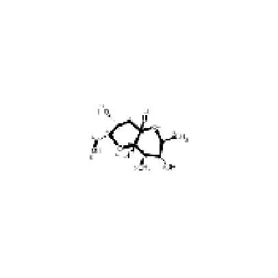 C[C@@H]1[C@@H](O)[C@H](C)O[C@H]2C[C@@H](O)[C@@H](CO)O[C@@H]12